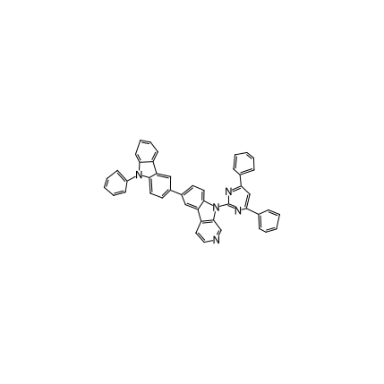 c1ccc(-c2cc(-c3ccccc3)nc(-n3c4ccc(-c5ccc6c(c5)c5ccccc5n6-c5ccccc5)cc4c4ccncc43)n2)cc1